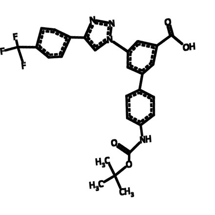 CC(C)(C)OC(=O)Nc1ccc(-c2cc(C(=O)O)cc(-n3cc(-c4ccc(C(F)(F)F)cc4)nn3)c2)cc1